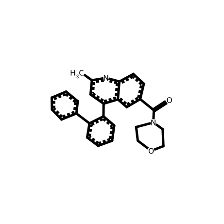 Cc1cc(-c2ccccc2-c2ccccc2)c2cc(C(=O)N3CCOCC3)ccc2n1